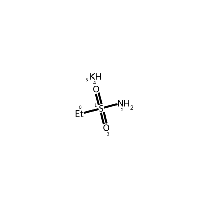 CCS(N)(=O)=O.[KH]